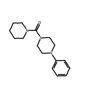 O=C(N1C[CH]CCC1)N1CCN(c2ccccc2)CC1